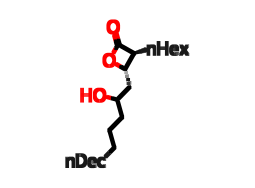 CCCCCCCCCCCCCC(O)C[C@@H]1OC(=O)[C@H]1CCCCCC